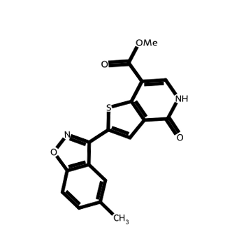 COC(=O)c1c[nH]c(=O)c2cc(-c3noc4ccc(C)cc34)sc12